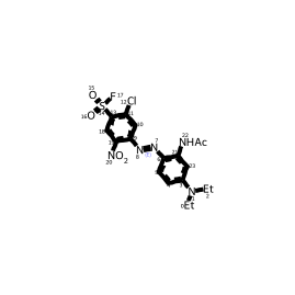 CCN(CC)c1ccc(/N=N/c2cc(Cl)c(S(=O)(=O)F)cc2[N+](=O)[O-])c(NC(C)=O)c1